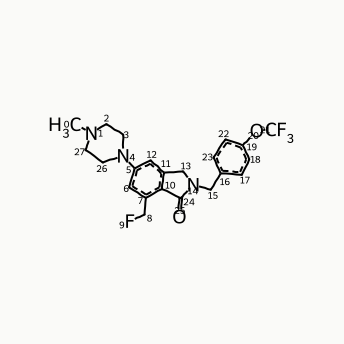 CN1CCN(c2cc(CF)c3c(c2)CN(Cc2ccc(OC(F)(F)F)cc2)C3=O)CC1